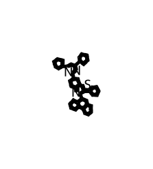 c1ccc(-c2cc(-c3ccccc3)nc(-c3ccc4nc(-c5cc6ccccc6c6ccccc56)c5c6ccccc6sc5c4c3)n2)cc1